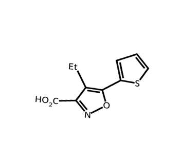 CCc1c(C(=O)O)noc1-c1cccs1